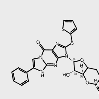 O=c1c2nc(Sc3cccs3)n([C@@H]3OC4CO[PH](=O)O[C@H]4[C@@H]3O)c2nc2[nH]c(-c3ccccc3)cn12